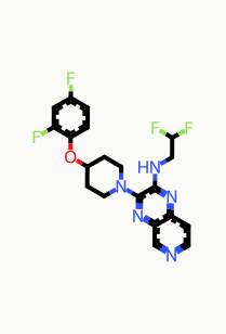 Fc1ccc(OC2CCN(c3nc4cnccc4nc3NCC(F)F)CC2)c(F)c1